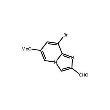 COc1cc(Br)c2nc(C=O)cn2c1